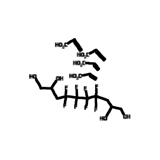 C=CC(=O)O.C=CC(=O)O.C=CC(=O)O.C=CC(=O)O.OCC(O)CC(F)(F)C(F)(F)C(F)(F)C(F)(F)CC(O)CO